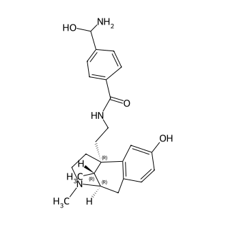 C[C@H]1[C@H]2Cc3ccc(O)cc3[C@]1(CCNC(=O)c1ccc(C(N)O)cc1)CCN2C